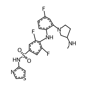 CNC1CCN(c2cc(F)ccc2Nc2c(F)cc(S(=O)(=O)Nc3cscn3)cc2F)C1